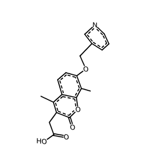 Cc1c(CC(=O)O)c(=O)oc2c(C)c(OCc3cccnc3)ccc12